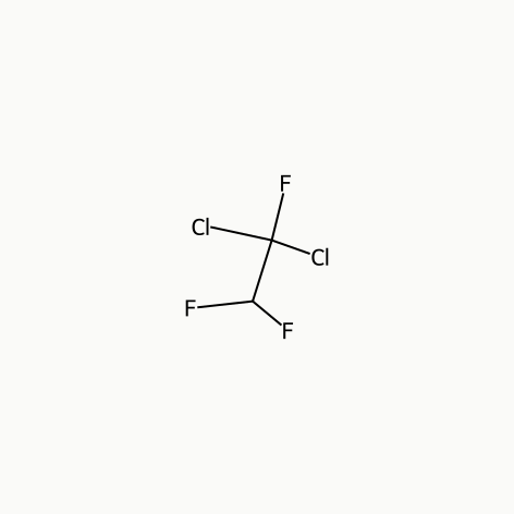 FC(F)C(F)(Cl)Cl